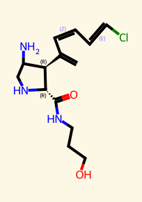 C=C(/C=C\C=C\Cl)[C@@H]1C(N)CN[C@H]1C(=O)NCCCO